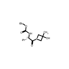 CC(C)[C@H](NC(=O)OC(C)(C)C)C(=O)N1CC(C)(O)C1